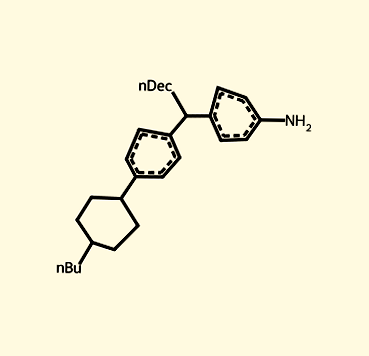 CCCCCCCCCCC(c1ccc(N)cc1)c1ccc(C2CCC(CCCC)CC2)cc1